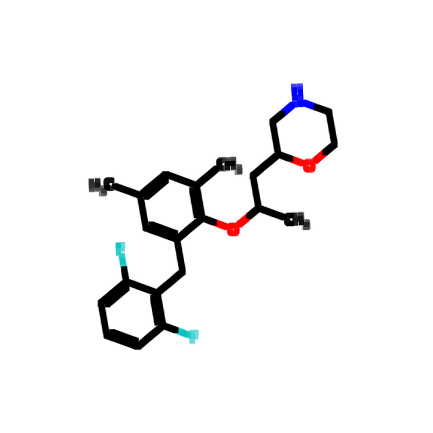 Cc1cc(C)c(OC(C)CC2CNCCO2)c(Cc2c(F)cccc2F)c1